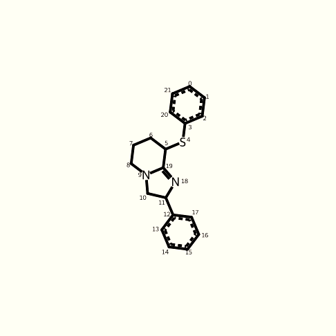 c1ccc(SC2CCCN3CC(c4ccccc4)N=C23)cc1